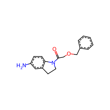 Nc1ccc2c(c1)CCN2C(=O)COCc1ccccc1